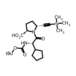 CC(C)(C)OC(=O)N[C@H](C(=O)N1[C@@H](C(=O)O)CC[C@@H]1C#C[Si](C)(C)C)C1CCCC1